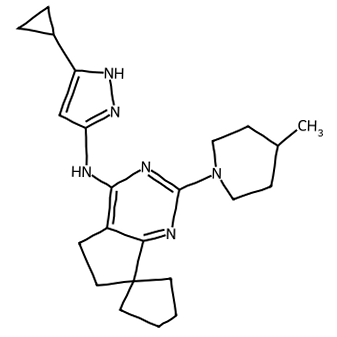 CC1CCN(c2nc(Nc3cc(C4CC4)[nH]n3)c3c(n2)C2(CCCC2)CC3)CC1